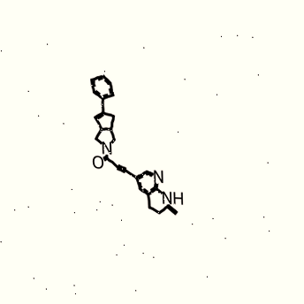 C=C1CCc2cc(C#CC(=O)N3CC4C=C(c5ccccc5)CC4C3)cnc2N1